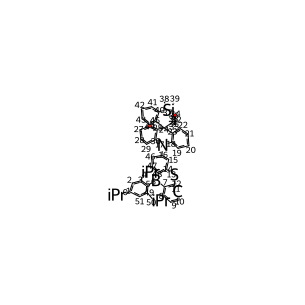 CC(C)c1cc(C(C)C)c(B2c3ccccc3Sc3cc(N4c5ccccc5C5(c6ccccc64)c4ccccc4[Si](C)(C)c4ccccc45)ccc32)c(C(C)C)c1